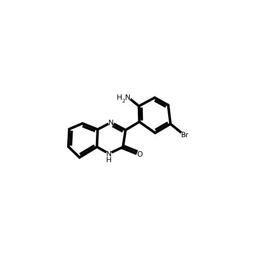 Nc1ccc(Br)cc1-c1nc2ccccc2[nH]c1=O